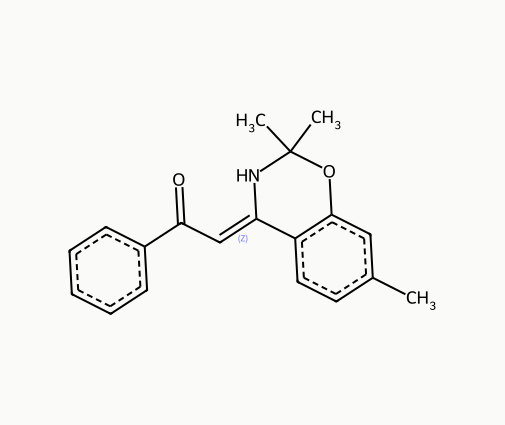 Cc1ccc2c(c1)OC(C)(C)N/C2=C\C(=O)c1ccccc1